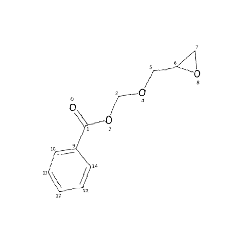 O=C(OCOCC1CO1)c1ccccc1